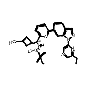 CCc1cncc(-n2ncc3ccc(-c4cccc([C@@H](N[S@+]([O-])C(C)(C)C)C5CC(O)C5)n4)cc32)n1